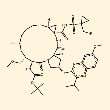 COC[C@@H]1C[C@H](C)CCCC[C@H]2C[C@@]2(C(=O)NS(=O)(=O)C2(CF)CC2)NC(=O)[C@@H]2C[C@@H](Oc3nc4cc(OC)ccc4nc3C(C)C)CN2C(=O)[C@H]1NC(=O)OC(C)(C)C